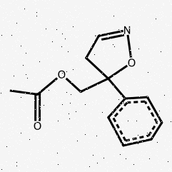 CC(=O)OCC1(c2ccccc2)C[C]=NO1